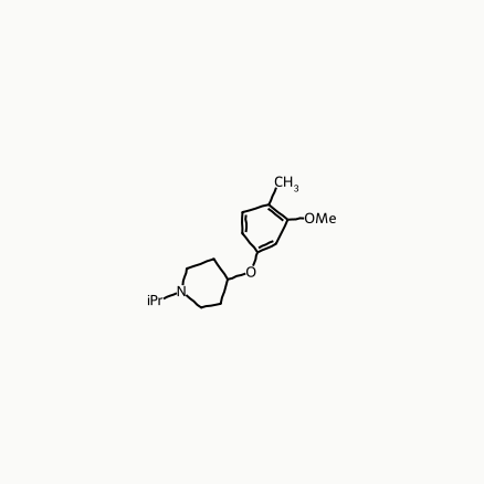 COc1cc(OC2CCN(C(C)C)CC2)ccc1C